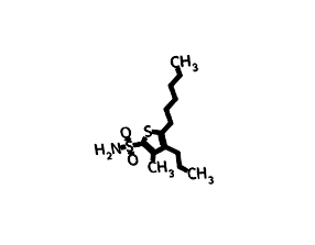 CCCCCCc1sc(S(N)(=O)=O)c(C)c1CCC